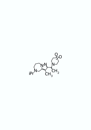 C=C(c1nn2c(c1C)CN(C(C)C)CCC2)N1CCS(=O)(=O)CC1